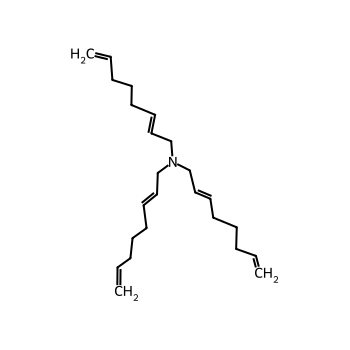 C=CCCCC=CCN(CC=CCCCC=C)CC=CCCCC=C